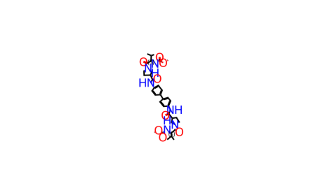 COC(=O)N[C@H](C(=O)N1CCC(C(=O)Nc2ccc(-c3ccc(NC(=O)C4CCN(C(=O)[C@@H](NC(=O)OC)C(C)C)C4)cc3)cc2)C1)C(C)C